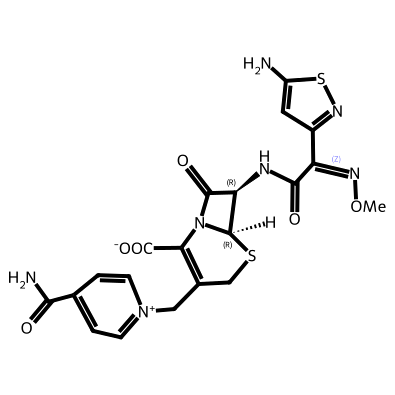 CO/N=C(\C(=O)N[C@@H]1C(=O)N2C(C(=O)[O-])=C(C[n+]3ccc(C(N)=O)cc3)CS[C@H]12)c1cc(N)sn1